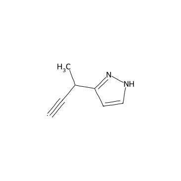 [C]#CC(C)c1cc[nH]n1